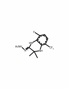 CC(=O)N/N=C1\Nc2c(F)ccc(C(F)(F)F)c2NC1(C)C